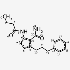 CCCC(=O)Nc1ncn(CCCc2ccccc2)c1C(N)=O